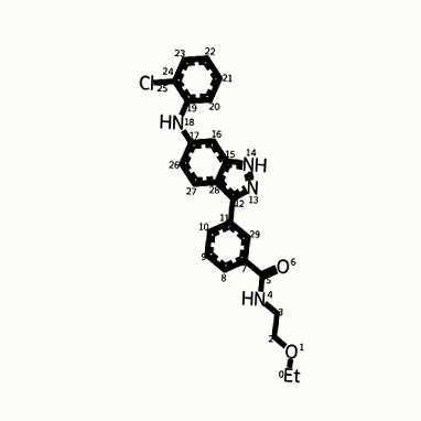 CCOCCNC(=O)c1cccc(-c2n[nH]c3cc(Nc4ccccc4Cl)ccc23)c1